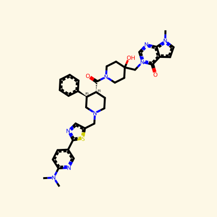 CN(C)c1ccc(-c2ncc(CN3CC[C@@H](C(=O)N4CCC(O)(Cn5cnc6c(ccn6C)c5=O)CC4)[C@H](c4ccccc4)C3)s2)cn1